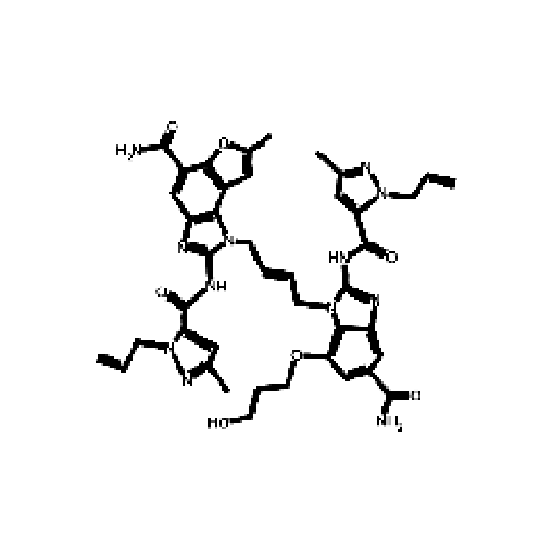 C=CCn1nc(C)cc1C(=O)Nc1nc2cc(C(N)=O)cc(OCCCO)c2n1C/C=C/Cn1c(NC(=O)c2cc(C)nn2CC=C)nc2cc(C(N)=O)c3oc(C)cc3c21